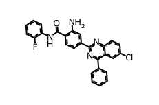 Nc1cc(-c2nc(-c3ccccc3)c3cc(Cl)ccc3n2)ccc1C(=O)Nc1ccccc1F